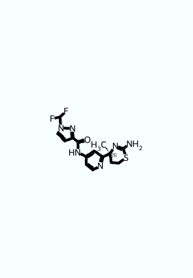 C[C@@]1(c2cc(NC(=O)c3ccn(C(F)F)n3)ccn2)CCSC(N)=N1